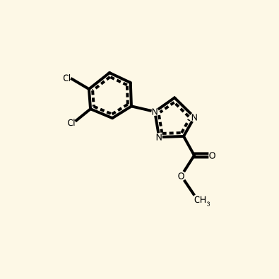 COC(=O)c1ncn(-c2ccc(Cl)c(Cl)c2)n1